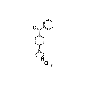 C[N+]1=CN(c2ccc(C(=O)c3ccccc3)cc2)CC1